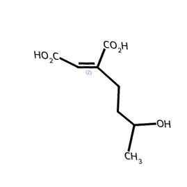 CC(O)CC/C(=C/C(=O)O)C(=O)O